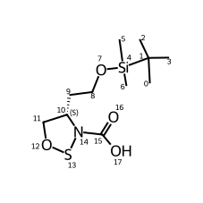 CC(C)(C)[Si](C)(C)OCC[C@H]1COSN1C(=O)O